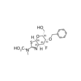 CN(C(=O)O)C1=N[C@@H]2[C@@H](F)[C@@H](OCc3ccccc3)[C@@H](CO)O[C@@H]2S1